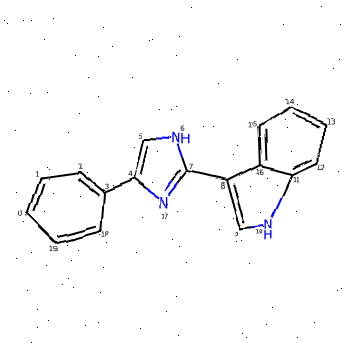 [c]1ccc(-c2c[nH]c(-c3c[nH]c4ccccc34)n2)cc1